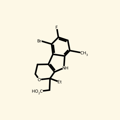 CCC1(CC(=O)O)OCCc2c1[nH]c1c(C)cc(F)c(Br)c21